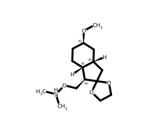 CO[C@@H]1CC[C@@H]2[C@H](C1)CC1(OCCO1)[C@H]2CO[SiH](C)C